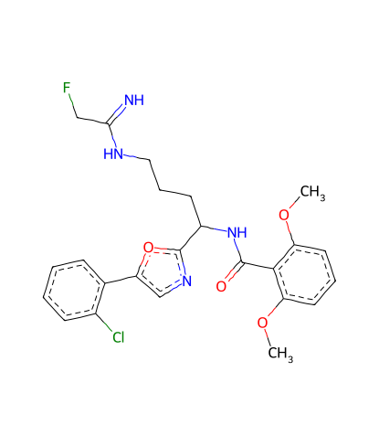 COc1cccc(OC)c1C(=O)NC(CCCNC(=N)CF)c1ncc(-c2ccccc2Cl)o1